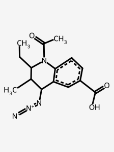 CCC1C(C)C(N=[N+]=[N-])c2cc(C(=O)O)ccc2N1C(C)=O